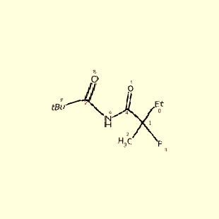 CCC(C)(F)C(=O)NC(=O)C(C)(C)C